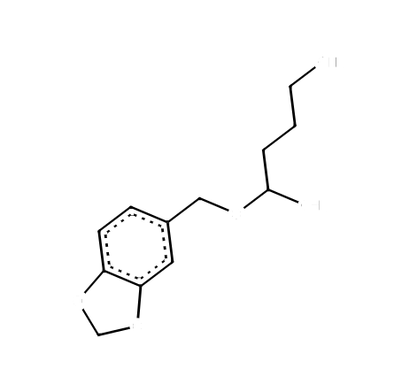 CCCCC(C)OCc1ccc2c(c1)OCO2